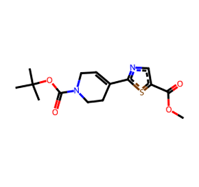 COC(=O)c1cnc(C2=CCN(C(=O)OC(C)(C)C)CC2)s1